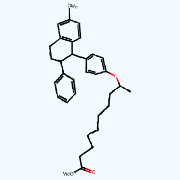 COC(=O)CCCCCCCC(C)Oc1ccc(C2c3ccc(OC)cc3CCC2c2ccccc2)cc1